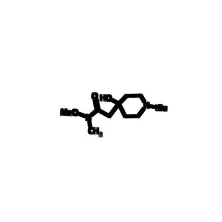 CON(C)C(=O)CC1(O)CCN(C(C)(C)C)CC1